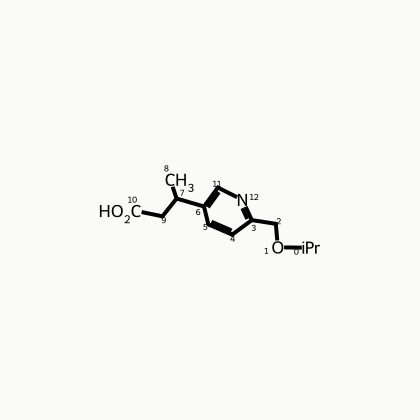 CC(C)OCc1ccc(C(C)CC(=O)O)cn1